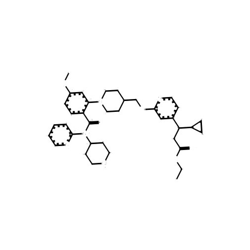 CCOC(=O)CC(c1ccnc(OCC2CCN(c3cc(OC)ccc3C(=O)N(c3ccccn3)C3CCNCC3)CC2)c1)C1CC1